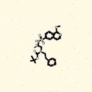 COc1nccc2cc(S(=O)(=O)N[C@H](C)CN(CCc3ccccc3)C(=O)OC(C)(C)C)ccc12